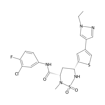 CCn1cc(-c2csc([C@H]3C[C@@H](C(=O)Nc4ccc(F)c(Cl)c4)N(C)S(=O)(=O)N3)c2)cn1